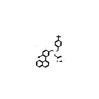 Cl.Cl.Cn1cncc1CN(Cc1ccc(C(F)(F)F)cc1)Cc1ccc(C#N)c(-c2cccc3ccccc23)c1